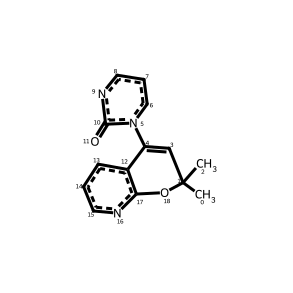 CC1(C)C=C(n2cccnc2=O)c2cccnc2O1